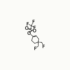 O=S(=O)(OC1=CCC(CF)(CF)CC1)C(F)(F)F